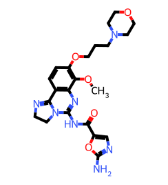 COc1c(OCCCN2CCOCC2)ccc2c1N=C(NC(=O)c1cnc(N)o1)N1CCN=C21